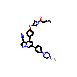 C=CC(=O)N1CC(Oc2ccc(-c3cc(-c4ccc(N5CCN(C)CC5)cc4)cn4ncc(C#N)c34)cc2)C1